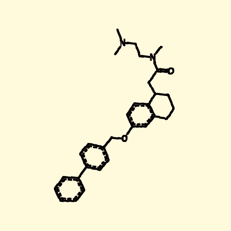 CN(C)CCN(C)C(=O)CC1CCCc2cc(OCc3ccc(-c4ccccc4)cc3)ccc21